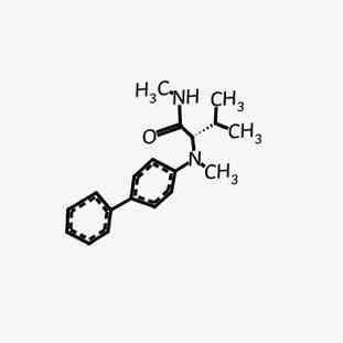 CNC(=O)[C@H](C(C)C)N(C)c1ccc(-c2ccccc2)cc1